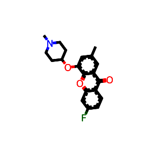 Cc1cc(OC2CCN(C)CC2)c2oc3cc(F)ccc3c(=O)c2c1